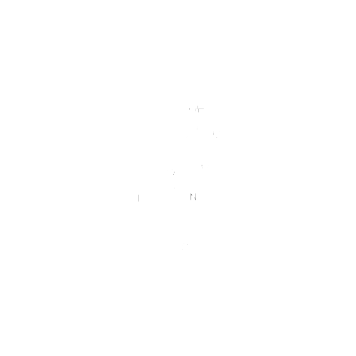 O=C(O)CC(=O)Oc1ncc(Cl)cc1F